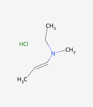 CC=CN(C)CC.Cl